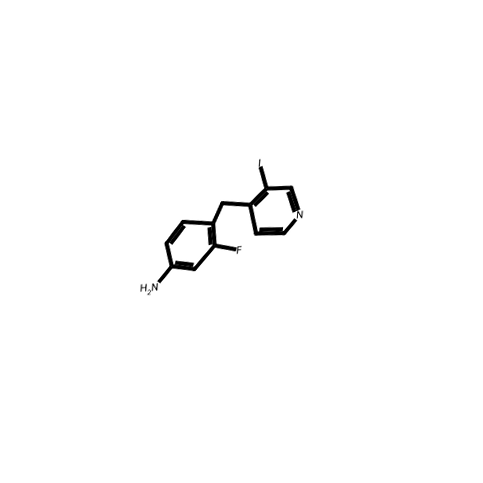 Nc1ccc(Cc2ccncc2I)c(F)c1